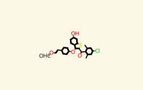 Cc1cc(Cl)cc(C)c1C(=O)c1sc2cc(O)ccc2c1Oc1ccc(/C=C/OC=O)cc1